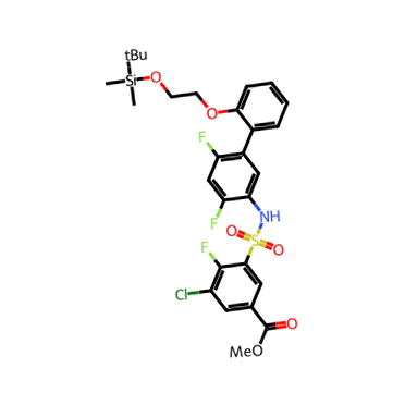 COC(=O)c1cc(Cl)c(F)c(S(=O)(=O)Nc2cc(-c3ccccc3OCCO[Si](C)(C)C(C)(C)C)c(F)cc2F)c1